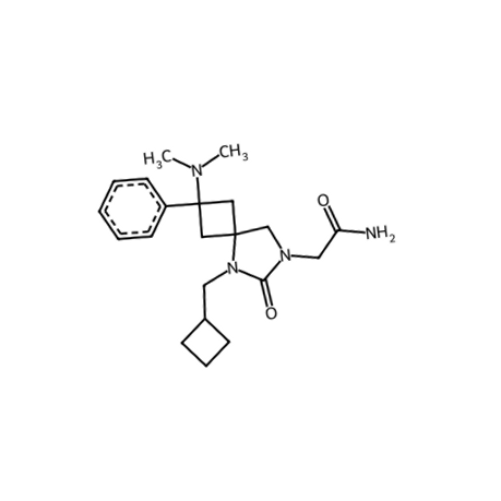 CN(C)C1(c2ccccc2)CC2(CN(CC(N)=O)C(=O)N2CC2CCC2)C1